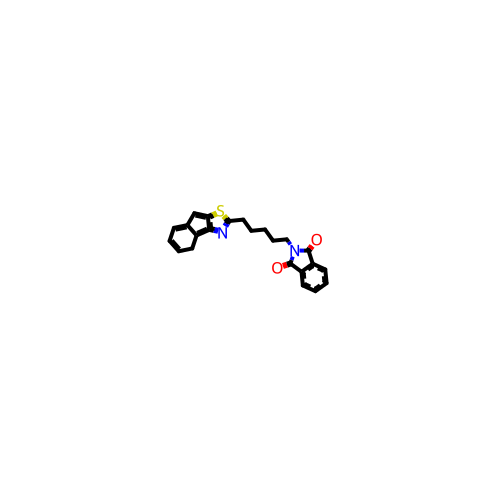 O=C1c2ccccc2C(=O)N1CCCCCc1nc2c(s1)=CC1=CC=CCC=21